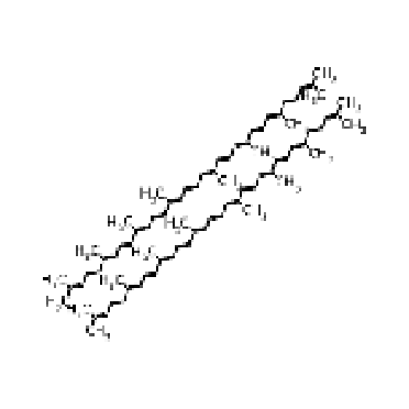 CC(C)=CCC/C(C)=C/C=C/C(C)=C/C=C/C(C)=C/C=C/C=C(C)/C=C/C=C(C)/C=C/C=C(\C)CCC=C(C)C.CC(C)=CCC/C(C)=C/C=C/C(C)=C/C=C/C(C)=C/C=C/C=C(C)/C=C/C=C(C)/C=C/C=C(\C)CCC=C(C)C